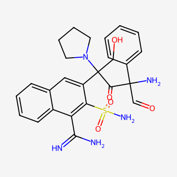 N=C(N)c1c(S(N)(=O)=O)c(C(CO)(C(=O)C(N)(C=O)c2ccccc2)N2CCCC2)cc2ccccc12